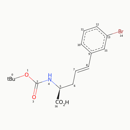 CC(C)(C)OC(=O)N[C@@H](C/C=C/c1cccc(Br)c1)C(=O)O